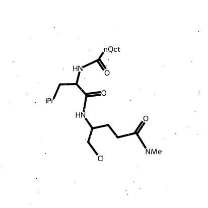 CCCCCCCCC(=O)NC(CC(C)C)C(=O)NC(CCl)CCC(=O)NC